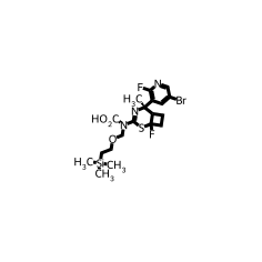 C[C@]1(c2cc(Br)cnc2F)N=C(N(COCC[Si](C)(C)C)C(=O)O)SC2(F)CCC21